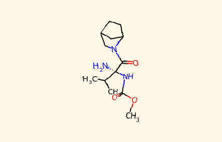 COC(=O)N[C@](N)(C(=O)N1CC2CCC1C2)C(C)C